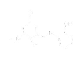 O=[N+]([O-])c1cc(Br)cc(/C=N/c2ccccc2O)c1O